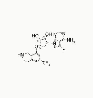 Nc1ncnc2c1c(F)cn2C1C[C@H](Oc2cc(C(F)(F)F)cc3c2CNCC3)[C@@H](O)[C@H]1O